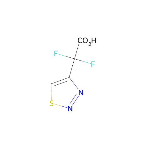 O=C(O)C(F)(F)c1csnn1